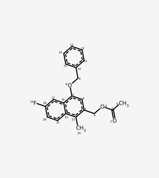 CC(=O)OCc1cc(OCc2ccccc2)c2cc(F)ccc2c1C